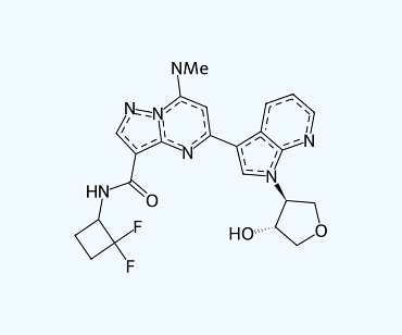 CNc1cc(-c2cn([C@H]3COC[C@@H]3O)c3ncccc23)nc2c(C(=O)NC3CCC3(F)F)cnn12